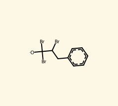 [O]C(Br)(Br)C(Br)Cc1ccccc1